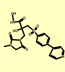 CN1CC(=O)N(CC(O)(CS(=O)(=O)c2ccc(-c3ccncc3)cc2)C(=O)NO)C1=O